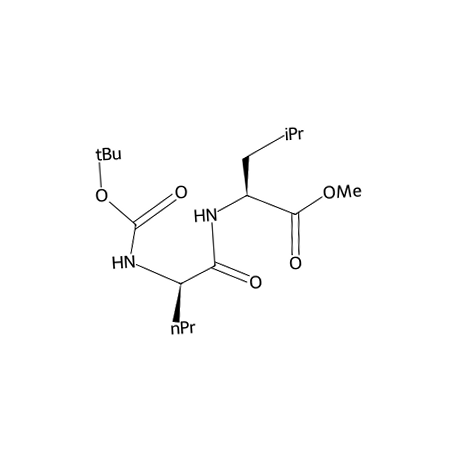 CCC[C@@H](NC(=O)OC(C)(C)C)C(=O)N[C@@H](CC(C)C)C(=O)OC